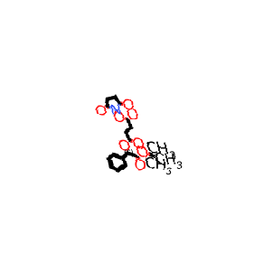 CC(C)(C)OC(=O)[C@@H](OC(=O)CCC(=O)ON1C(=O)CCC1=O)c1ccccc1